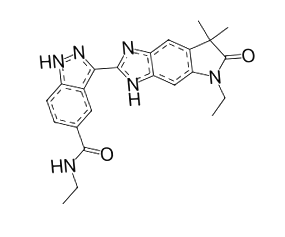 CCNC(=O)c1ccc2[nH]nc(-c3nc4cc5c(cc4[nH]3)N(CC)C(=O)C5(C)C)c2c1